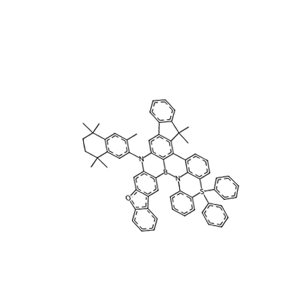 Cc1cc2c(cc1N1c3cc4oc5ccccc5c4cc3B3c4c1cc1c(c4-c4cccc5c4N3c3ccccc3S5(c3ccccc3)c3ccccc3)C(C)(C)c3ccccc3-1)C(C)(C)CCC2(C)C